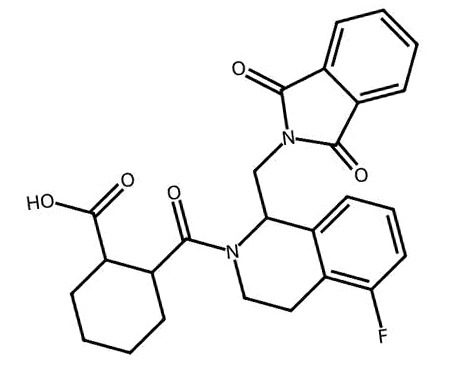 O=C(O)C1CCCCC1C(=O)N1CCc2c(F)cccc2C1CN1C(=O)c2ccccc2C1=O